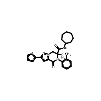 Cc1ccccc1N1C(=O)c2cc(-c3cccs3)nn2CC1(C)C(=O)NC1CCCCCC1